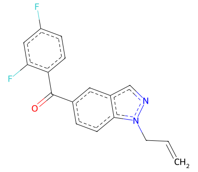 C=CCn1ncc2cc(C(=O)c3ccc(F)cc3F)ccc21